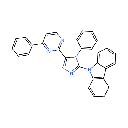 C1=Cc2c(c3ccccc3n2-c2nnc(-c3nccc(-c4ccccc4)n3)n2-c2ccccc2)CC1